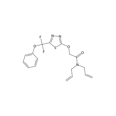 C=CCN(CC=C)C(=O)COc1nnc(C(F)(F)Oc2ccccc2)s1